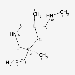 C=C[C@@]1(C)CNCC(C)(CNC)C1